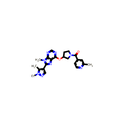 CCn1ncc(-c2nc3c(OC4CCN(C(=O)c5ccnc(C)c5)C4)ncnc3n2C)c1C